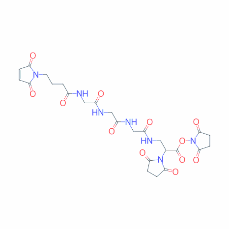 O=C(CCCN1C(=O)C=CC1=O)NCC(=O)NCC(=O)NCC(=O)NCC(C(=O)ON1C(=O)CCC1=O)N1C(=O)CCC1=O